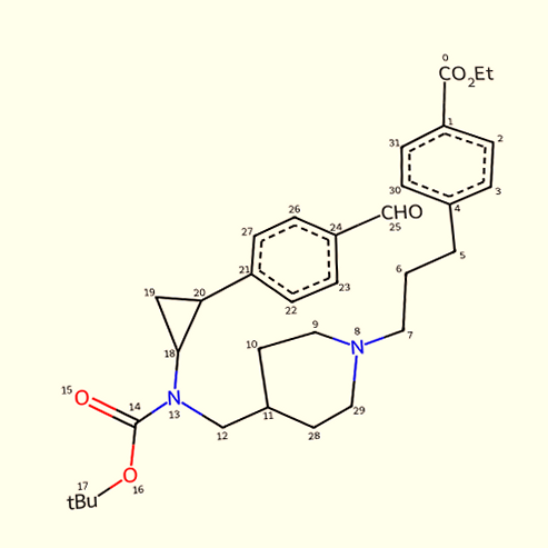 CCOC(=O)c1ccc(CCCN2CCC(CN(C(=O)OC(C)(C)C)C3CC3c3ccc(C=O)cc3)CC2)cc1